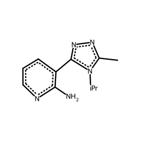 Cc1nnc(-c2cccnc2N)n1C(C)C